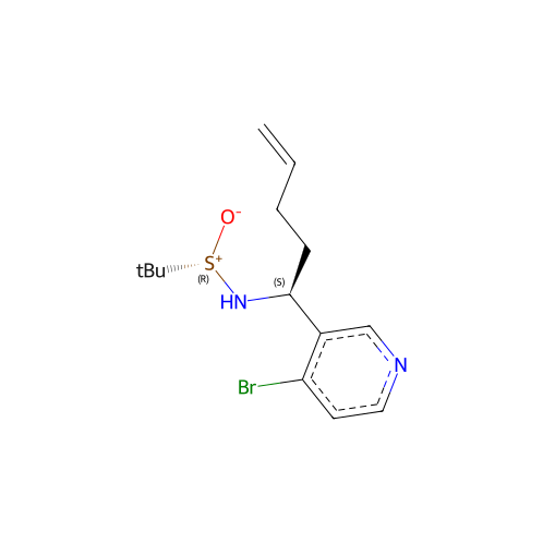 C=CCC[C@H](N[S@@+]([O-])C(C)(C)C)c1cnccc1Br